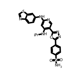 CC(C)Nc1cc(Nc2ccc3ncsc3c2)ncc1-c1nnc(-c2ccc(S(N)(=O)=O)cc2)o1